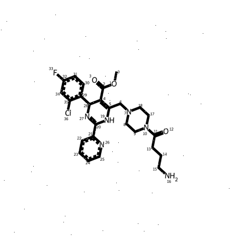 COC(=O)C1=C(CN2CCN(C(=O)CCCN)CC2)NC(c2ccccn2)=NC1c1ccc(F)cc1Cl